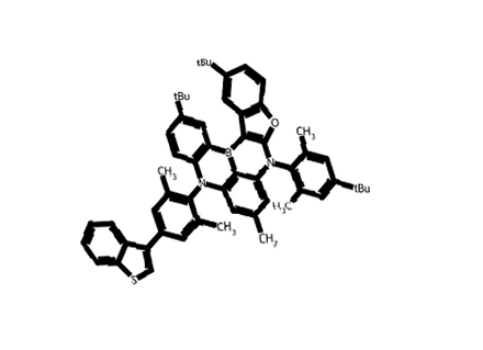 Cc1cc2c3c(c1)N(c1c(C)cc(C(C)(C)C)cc1C)c1oc4ccc(C(C)(C)C)cc4c1B3c1cc(C(C)(C)C)ccc1N2c1c(C)cc(-c2csc3ccccc23)cc1C